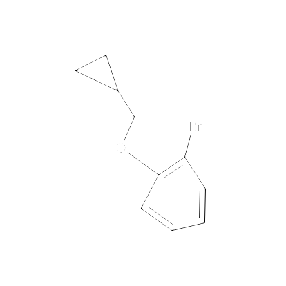 Brc1[c]cccc1OCC1CC1